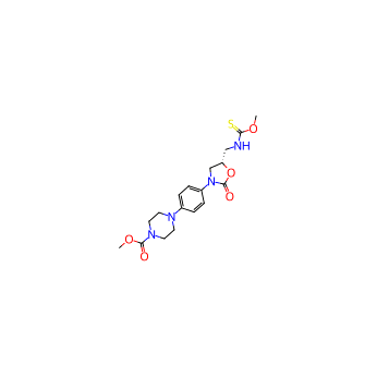 COC(=O)N1CCN(c2ccc(N3C[C@H](CNC(=S)OC)OC3=O)cc2)CC1